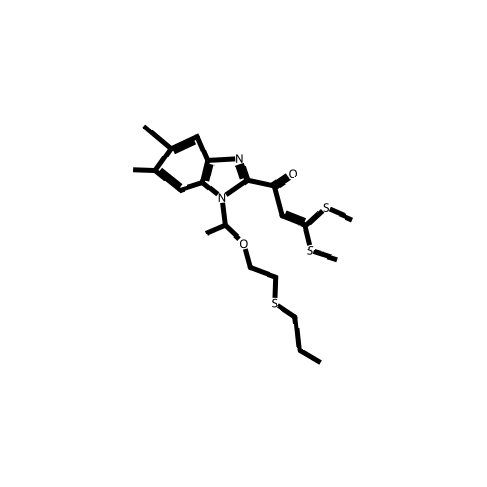 CCCSCCOC(C)n1c(C(=O)C=C(SC)SC)nc2cc(C)c(C)cc21